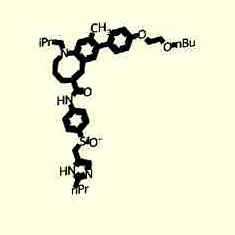 CCCCOCCOc1ccc(-c2cc3c(cc2C)N(CC(C)C)CCC/C(C(=O)Nc2ccc([S+]([O-])Cc4cnc(CCC)[nH]4)cc2)=C\3)cc1